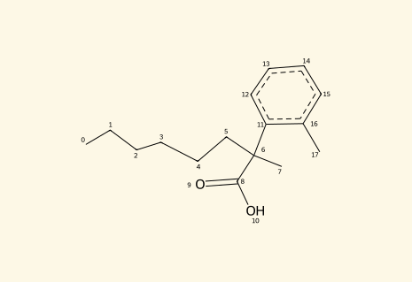 CCCCCCC(C)(C(=O)O)c1ccccc1C